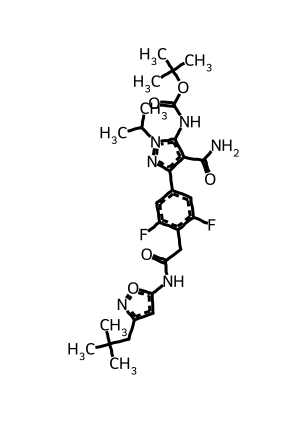 CC(C)n1nc(-c2cc(F)c(CC(=O)Nc3cc(CC(C)(C)C)no3)c(F)c2)c(C(N)=O)c1NC(=O)OC(C)(C)C